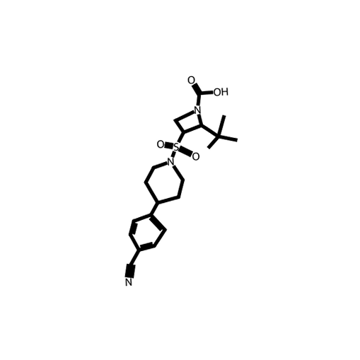 CC(C)(C)C1C(S(=O)(=O)N2CCC(c3ccc(C#N)cc3)CC2)CN1C(=O)O